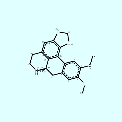 COc1cc2c(cc1OC)-c1c3c(cc4c1[C@H](C2)NCC4)OCO3